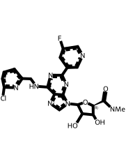 CNC(=O)[C@@H]1OC(n2cnc3c(NCc4cccc(Cl)n4)nc(-c4cncc(F)c4)nc32)C(O)C1O